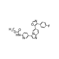 COC(=O)Nc1ccc(-c2cnc3ccc(-c4ocnc4-c4ccc(F)cc4)cn23)cn1